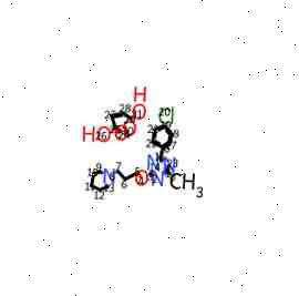 Cc1nc(OCCCN2CCCCC2)nc(-c2ccc(Cl)cc2)n1.O=C(O)/C=C\C(=O)O